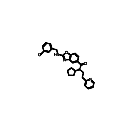 O=C(c1ccc2oc(NCc3cccc(Cl)c3)nc2c1)N(CCc1ccccn1)C1CCCC1